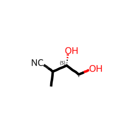 CC(C#N)[C@H](O)[CH]O